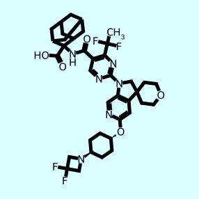 CC(F)(F)c1nc(N2CC3(CCOCC3)c3cc(O[C@H]4CC[C@H](N5CC(F)(F)C5)CC4)ncc32)ncc1C(=O)NC1(C(=O)O)C2CC3CC(C2)CC1C3